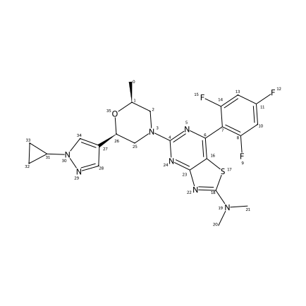 C[C@H]1CN(c2nc(-c3c(F)cc(F)cc3F)c3sc(N(C)C)nc3n2)C[C@@H](c2cnn(C3CC3)c2)O1